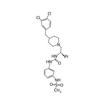 CC(C)[C@H](CN1CCC(Cc2ccc(Cl)c(Cl)c2)CC1)NC(=O)Nc1cccc(NS(C)(=O)=O)c1